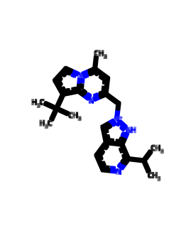 Cc1cc(C[n+]2cc3ccnc(C(C)C)c3[nH]2)nc2c(C(C)(C)C)ccn12